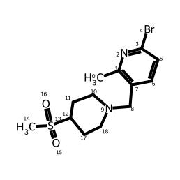 Cc1nc(Br)ccc1CN1CCC(S(C)(=O)=O)CC1